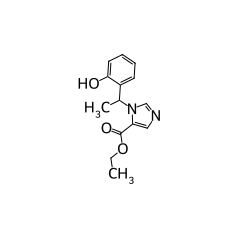 CCOC(=O)c1cncn1C(C)c1ccccc1O